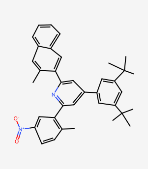 Cc1ccc([N+](=O)[O-])cc1-c1cc(-c2cc(C(C)(C)C)cc(C(C)(C)C)c2)cc(-c2cc3ccccc3cc2C)n1